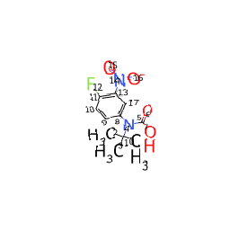 CC(C)(C)N(C(=O)O)c1ccc(F)c([N+](=O)[O-])c1